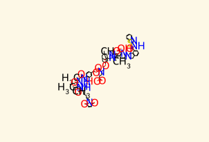 Cc1c(-c2ccc(N3CCc4cccc(C(=O)Nc5nc6ccccc6s5)c4C3)nc2C(=O)O)cnn1CC12CC3CC(C)(C1)CC(OCCN(CCC(=O)O)C(=O)OCc1ccc(NC(=O)[C@H](C)NC(=O)C(NC(=O)CCCCCN4C(=O)C=CC4=O)C(C)C)cc1)(C3)C2